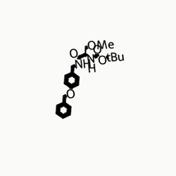 COC[C@@H](NC(=O)OC(C)(C)C)C(=O)NCc1ccc(OCc2ccccc2)cc1